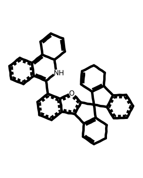 C1=CC2=c3ccccc3=C(c3cccc4c5c(oc34)C3(C4=C(CCC=C4)c4ccccc43)C3=C5C=CCC3)NC2C=C1